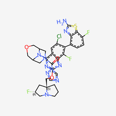 Nc1nc2c(-c3c(Cl)cc4c(N5C6COCC5CN(C(=O)n5cncn5)C6)nc(OC[C@@]56CCCN5C[C@H](F)C6)nc4c3F)ccc(F)c2s1